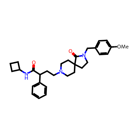 COc1ccc(CN2CCC3(CCN(CCC(C(=O)NC4CCC4)c4ccccc4)CC3)C2=O)cc1